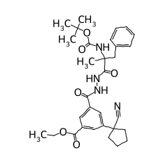 CCOC(=O)c1cc(C(=O)NNC(=O)C(C)(Cc2ccccc2)NC(=O)OC(C)(C)C)cc(C2(C#N)CCCC2)c1